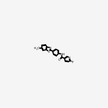 Cc1ccc2nc(-c3ccc(NC(=O)c4ccc([18F])nc4)cc3)sc2c1